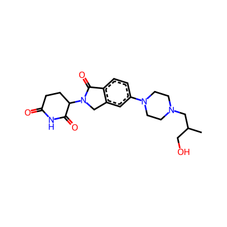 CC(CO)CN1CCN(c2ccc3c(c2)CN(C2CCC(=O)NC2=O)C3=O)CC1